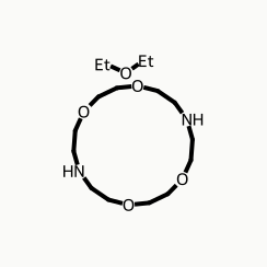 C1COCCOCCNCCOCCOCCN1.CCOCC